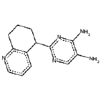 Nc1cnc(C2CCCc3ncccc32)nc1N